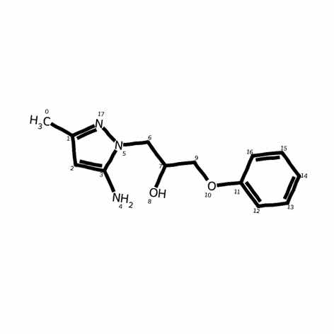 Cc1cc(N)n(CC(O)COc2ccccc2)n1